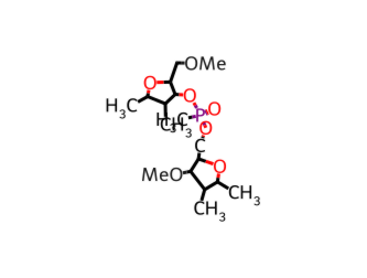 COCC1OC(C)C(C)C1OP(C)(=O)OCC1OC(C)C(C)C1OC